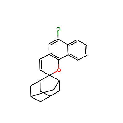 Clc1cc2c(c3ccccc13)OC1(C=C2)C2CC3CC(C2)CC1C3